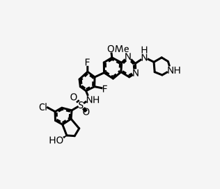 COc1cc(-c2c(F)ccc(NS(=O)(=O)c3cc(Cl)cc4c3CC[C@H]4O)c2F)cc2cnc(NC3CCNCC3)nc12